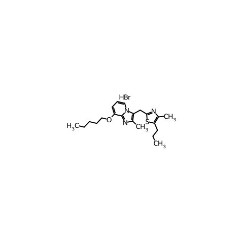 Br.CCCCCOc1cccn2c(Cc3nc(C)c(CCC)s3)c(C)nc12